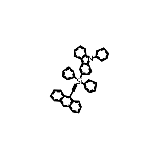 C(#C[Si](c1ccccc1)(c1ccccc1)c1ccc2c(c1)c1ccccc1n2-c1ccccc1)c1c2ccccc2cc2ccccc12